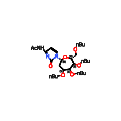 CCCCOC[C@H]1O[C@@H](n2ccc(NC(C)=O)nc2=O)C[C@H](OCCCC)[C@H](OCCCC)[C@@H]1OCCCC